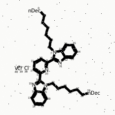 CCCCCCCCCCCCCCCCn1c(-c2cccc(-c3nc4ccccc4n3CCCCCCCCCCCCCCCC)n2)nc2ccccc21.[Cl-].[Cl-].[V+2]